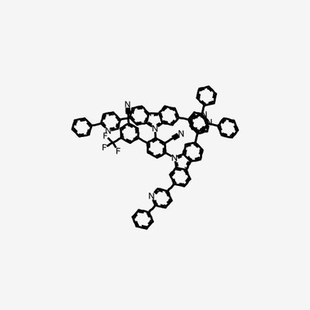 N#Cc1cc(-c2ccc(-n3c4cc(-c5ccc(-c6ccccc6)nc5)ccc4c4ccc(-c5ccc(-c6ccccc6)nc5)cc43)c(C#N)c2-n2c3cc(-c4ccc(-c5ccccc5)nc4)ccc3c3ccc(-c4ccc(-c5ccccc5)nc4)cc32)cc(C(F)(F)F)c1